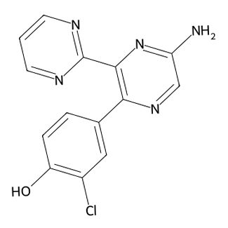 Nc1cnc(-c2ccc(O)c(Cl)c2)c(-c2ncccn2)n1